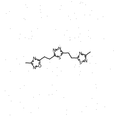 Cc1noc(CCc2nnc(CCc3nc(C)ns3)s2)n1